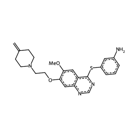 C=C1CCN(CCOc2cc3ncnc(Sc4cccc(N)c4)c3cc2OC)CC1